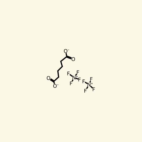 F[N+](F)(F)F.F[N+](F)(F)F.O=C([O-])CCCCC(=O)[O-]